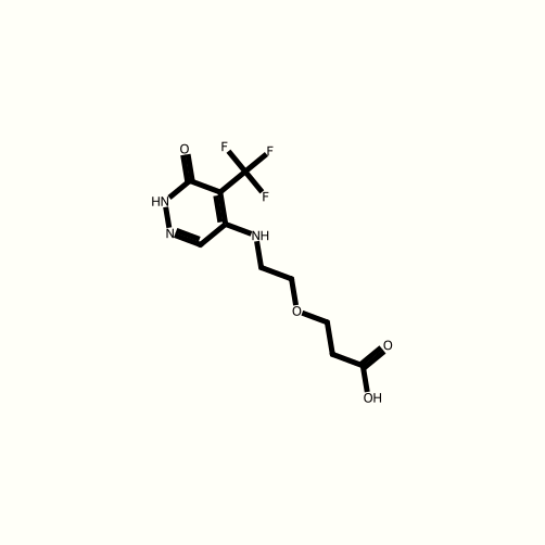 O=C(O)CCOCCNc1cn[nH]c(=O)c1C(F)(F)F